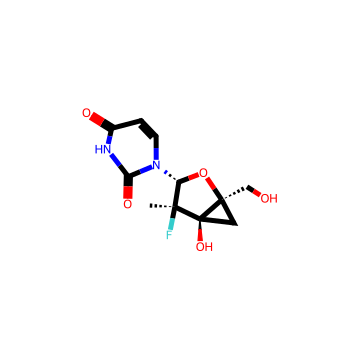 C[C@]1(F)[C@H](n2ccc(=O)[nH]c2=O)O[C@@]2(CO)C[C@@]21O